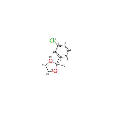 CC1(c2cccc(Cl)c2)OCCO1